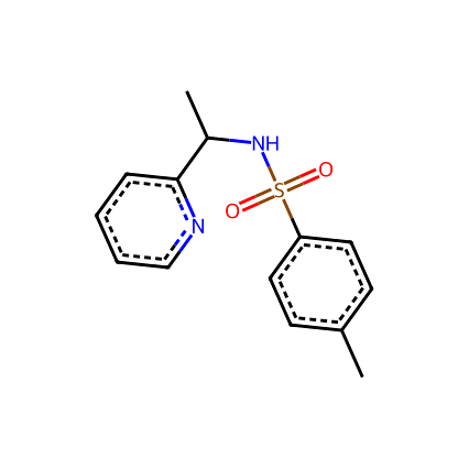 Cc1ccc(S(=O)(=O)NC(C)c2ccccn2)cc1